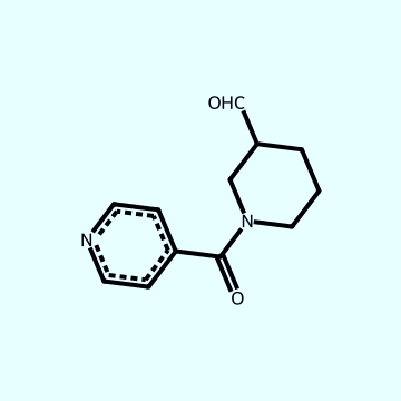 O=CC1CCCN(C(=O)c2ccncc2)C1